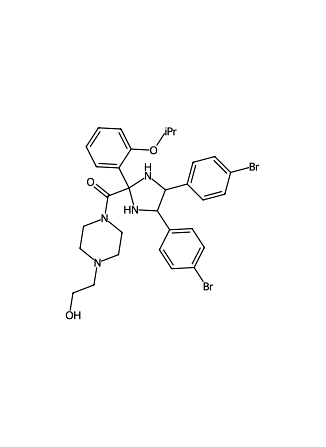 CC(C)Oc1ccccc1C1(C(=O)N2CCN(CCO)CC2)NC(c2ccc(Br)cc2)C(c2ccc(Br)cc2)N1